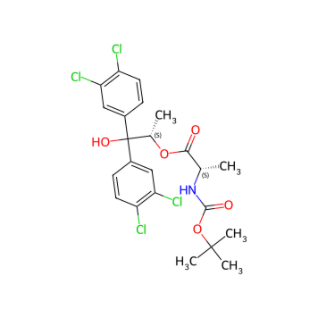 C[C@H](NC(=O)OC(C)(C)C)C(=O)O[C@@H](C)C(O)(c1ccc(Cl)c(Cl)c1)c1ccc(Cl)c(Cl)c1